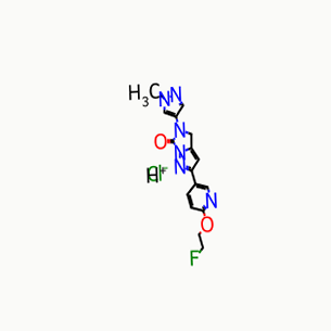 Cn1cc(N2Cc3cc(-c4ccc(OCCF)nc4)nn3C2=O)cn1.[Cl-].[H+]